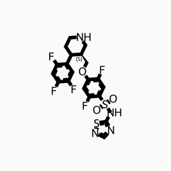 O=S(=O)(Nc1ncns1)c1cc(F)c(OC[C@@H]2CNCCC2c2cc(F)c(F)cc2F)cc1F